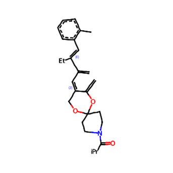 C=C1OC2(CCN(C(=O)C(C)C)CC2)OC/C1=C/C(=C)/C(=C/c1ccccc1C)CC